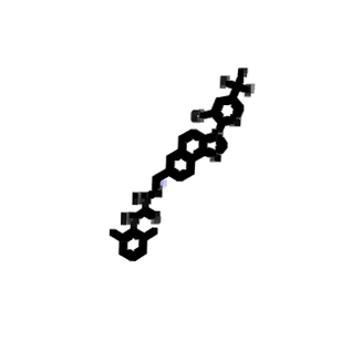 Cc1cccc(C)c1NC(=S)N/N=C/c1ccc2c(ccc3c2ncn3-c2ncc(C(F)(F)F)cc2Cl)c1